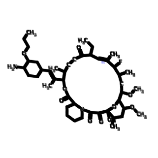 CCCOC1CC(C=C(C)C2OC(=O)C3CCCCN3C(=O)C(=O)C3(O)OC(C(OC)CC(C)C(F)/C(C)=C/C(CC)C(=O)CCC2C)C(OC)CC3C)CCC1N